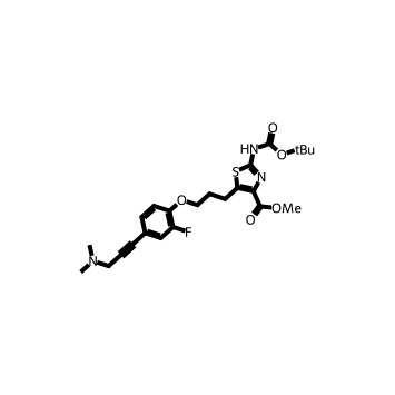 COC(=O)c1nc(NC(=O)OC(C)(C)C)sc1CCCOc1ccc(C#CCN(C)C)cc1F